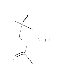 CC(=O)OCC(C)(C)C.[MgH2]